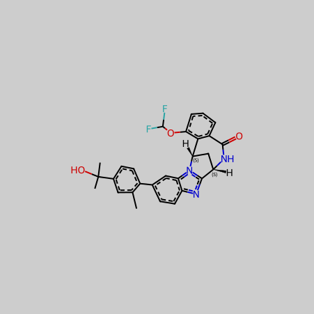 Cc1cc(C(C)(C)O)ccc1-c1ccc2nc3n(c2c1)[C@H]1C[C@@H]3NC(=O)c2cccc(OC(F)F)c21